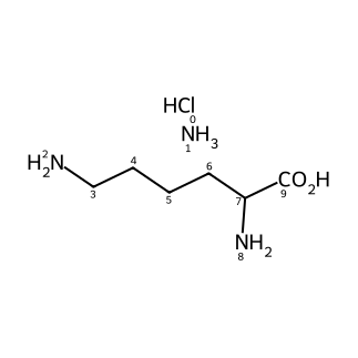 Cl.N.NCCCCC(N)C(=O)O